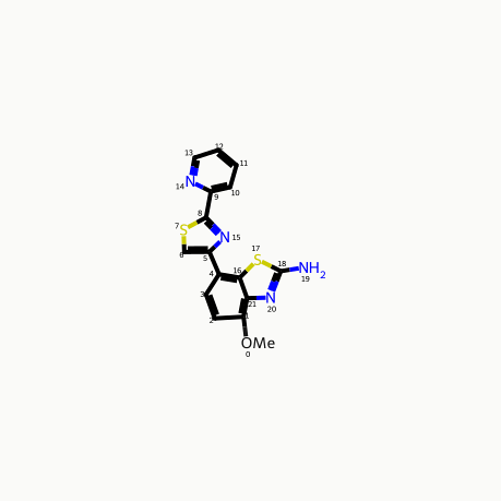 COc1ccc(-c2csc(-c3ccccn3)n2)c2sc(N)nc12